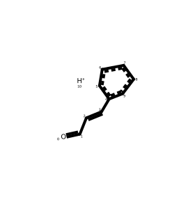 O=CC=Cc1ccccc1.[H+]